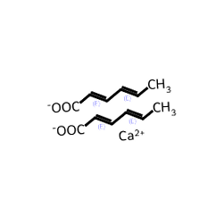 C/C=C/C=C/C(=O)[O-].C/C=C/C=C/C(=O)[O-].[Ca+2]